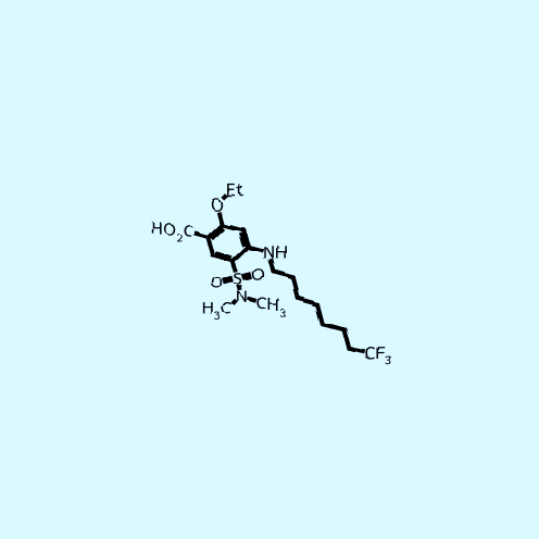 CCOc1cc(NCCCCCCCC(F)(F)F)c(S(=O)(=O)N(C)C)cc1C(=O)O